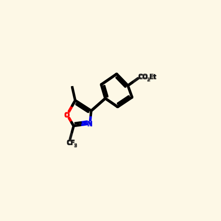 CCOC(=O)c1ccc(-c2nc(C(F)(F)F)oc2C)cc1